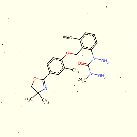 COc1cccc(N(N)C(=O)N(C)N)c1COc1ccc(C2=NC(C)(C)CO2)cc1C